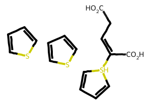 O=C(O)CC=C(C(=O)O)[SH]1C=CC=C1.c1ccsc1.c1ccsc1